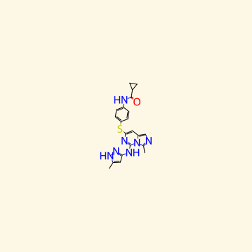 Cc1cc(Nc2nc(Sc3ccc(NC(=O)C4CC4)cc3)cc3cnc(C)n23)n[nH]1